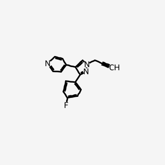 C#CCn1cc(-c2ccncc2)c(-c2ccc(F)cc2)n1